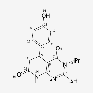 CC(C)n1c(S)nc2c(c1=O)C(c1ccc(O)cc1)CC(=O)N2